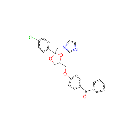 O=C(c1ccccc1)c1ccc(OCC2COC(Cn3ccnc3)(c3ccc(Cl)cc3)O2)cc1